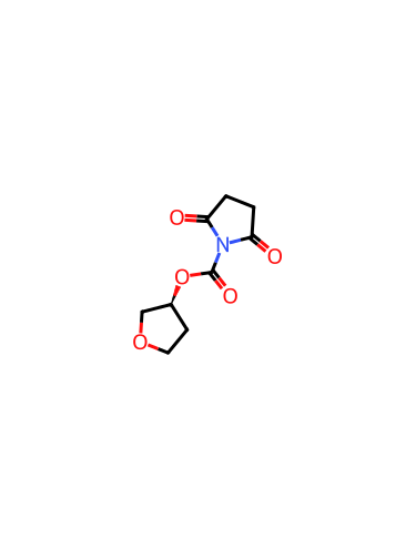 O=C1CCC(=O)N1C(=O)O[C@H]1CCOC1